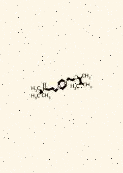 CC(C)[C@H](C)OCCN1CCN(CCCNC(C)(C)C)CC1